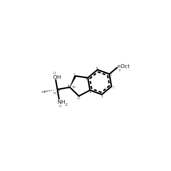 CCCCCCCCc1ccc2c(c1)C[C@H]([C@@](C)(N)O)C2